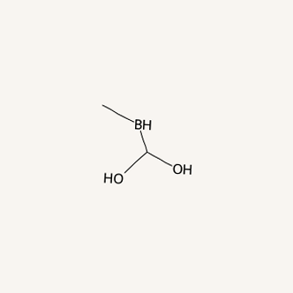 CBC(O)O